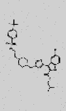 CC(C)COC(=O)c1[nH]c2ccc(F)cc2c1-c1cn(CC2CCN(CCNS(=O)(=O)c3ccc(C(C)(C)C)cc3)CC2)nn1